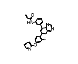 C=CC(=O)Nc1cccc(-c2cc(-c3ccc(Oc4ccccn4)cc3F)cc3cncnc23)c1